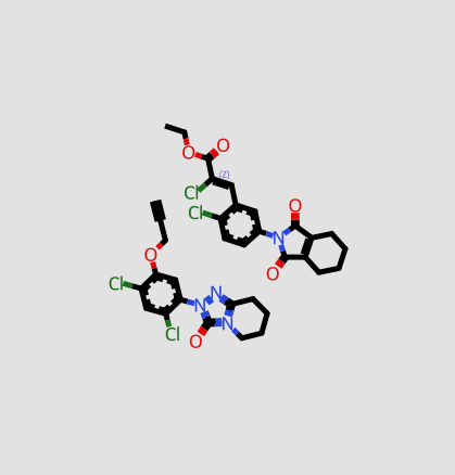 C#CCOc1cc(-n2nc3n(c2=O)CCCC3)c(Cl)cc1Cl.CCOC(=O)/C(Cl)=C/c1cc(N2C(=O)C3=C(CCCC3)C2=O)ccc1Cl